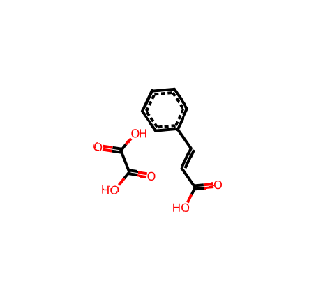 O=C(O)C(=O)O.O=C(O)C=Cc1ccccc1